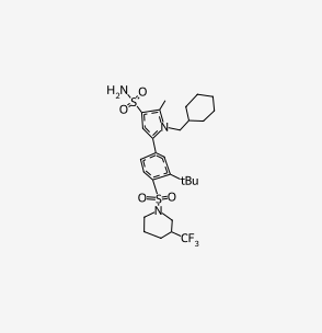 Cc1c(S(N)(=O)=O)cc(-c2ccc(S(=O)(=O)N3CCCC(C(F)(F)F)C3)c(C(C)(C)C)c2)n1CC1CCCCC1